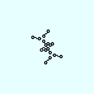 C1=CC2=CCc3c(ccc4c(-c5ccc(N(c6ccc(C=Cc7ccccc7)cc6)c6ccc(C=Cc7ccccc7)cc6)cc5)ccc(-c5ccc(-c6ccc(N(c7ccc(C=Cc8ccccc8)cc7)c7ccc(C=Cc8ccccc8)cc7)cc6)c6ccc7c8ccccc8ccc7c56)c34)C2C=C1